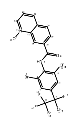 O=C(Nc1c(Br)cc(C(F)(C(F)(F)F)C(F)(F)Br)cc1C(F)(F)F)c1ccc2ccc[n+]([O-])c2c1